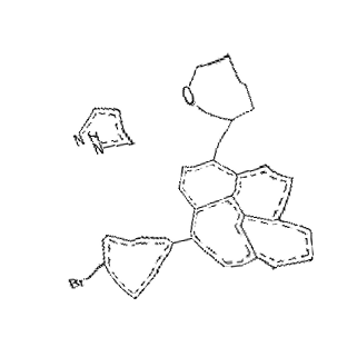 Brc1ccc(-c2cc3cccc4ccc5c(C6CCCCO6)ccc2c5c43)cc1.c1cn[nH]c1